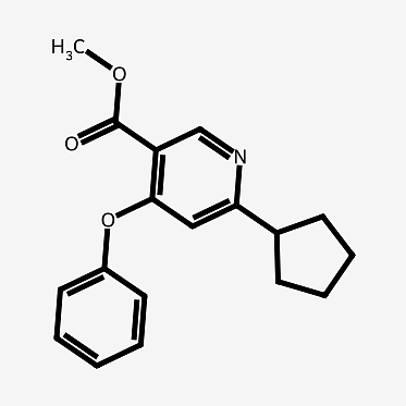 COC(=O)c1cnc(C2CCCC2)cc1Oc1ccccc1